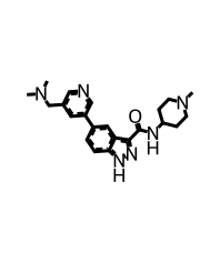 CN(C)Cc1cncc(-c2ccc3[nH]nc(C(=O)NC4CCN(C)CC4)c3c2)c1